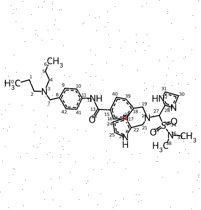 CCCN(CCC)Cc1ccc(NC(=O)c2ccc(CN(Cc3ncc[nH]3)C(c3ncc[nH]3)S(=O)(=O)N(C)C)cc2)cc1